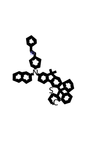 CC1(C)c2cc(N(c3ccc(/C=C/c4ccccc4)cc3)c3ccc4ccccc4c3)ccc2-c2c1ccc1c2Sc2ccccc2C1(c1ccccc1)c1ccccc1